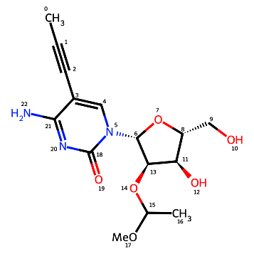 CC#Cc1cn([C@@H]2O[C@H](CO)[C@@H](O)[C@H]2OC(C)OC)c(=O)nc1N